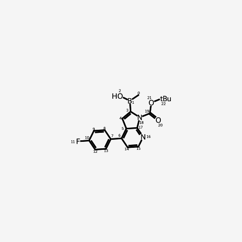 CB(O)c1cc2c(-c3ccc(F)cc3)ccnc2n1C(=O)OC(C)(C)C